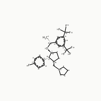 C[C@@H](O[C@H]1CC[C@@H](CN2CCCC2)[C@@H]1c1ccc(F)cc1)c1cc(C(F)(F)F)cc(C(F)(F)F)c1